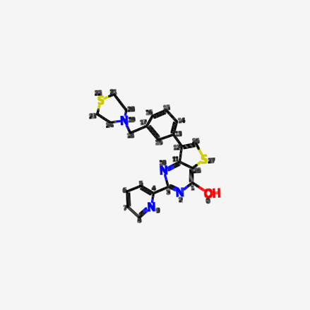 Oc1nc(-c2ccccn2)nc2c(-c3cccc(CN4CCSCC4)c3)csc12